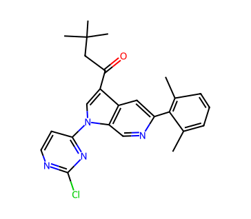 Cc1cccc(C)c1-c1cc2c(C(=O)CC(C)(C)C)cn(-c3ccnc(Cl)n3)c2cn1